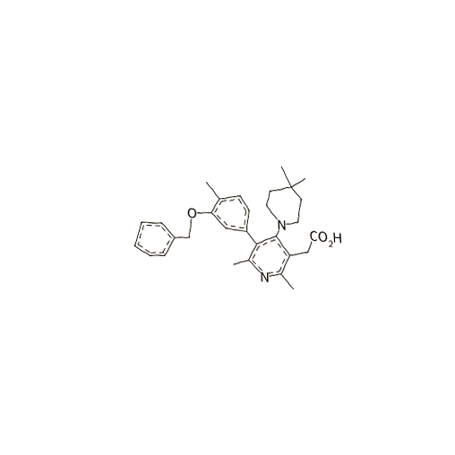 Cc1ccc(-c2c(C)nc(C)c(CC(=O)O)c2N2CCC(C)(C)CC2)cc1OCc1ccccc1